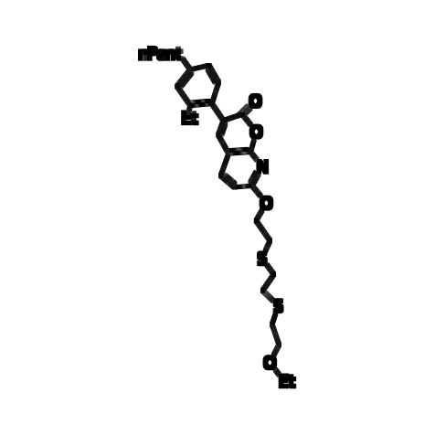 CCCCCc1ccc(-c2cc3ccc(OCCSCCSCCOCC)nc3oc2=O)c(CC)c1